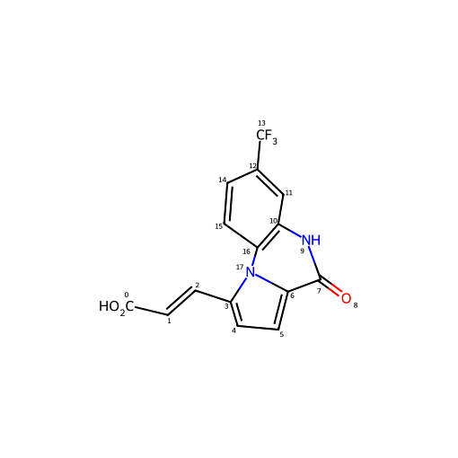 O=C(O)/C=C/c1ccc2c(=O)[nH]c3cc(C(F)(F)F)ccc3n12